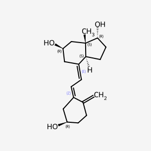 C=C1CC[C@@H](O)C/C1=C/C=C1\C[C@@H](O)C[C@]2(C)[C@H](O)CC[C@@H]12